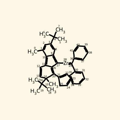 Cc1cc(C(C)(C)C)cc2c1=C1C=CC(C)(C(C)(C)C)C(C3=CC=CC3)=C1[C]=2[Zr]=[C](c1ccccc1)c1ccccc1